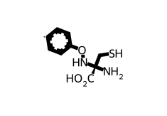 N[C@@](CS)(NOc1cc[c]cc1)C(=O)O